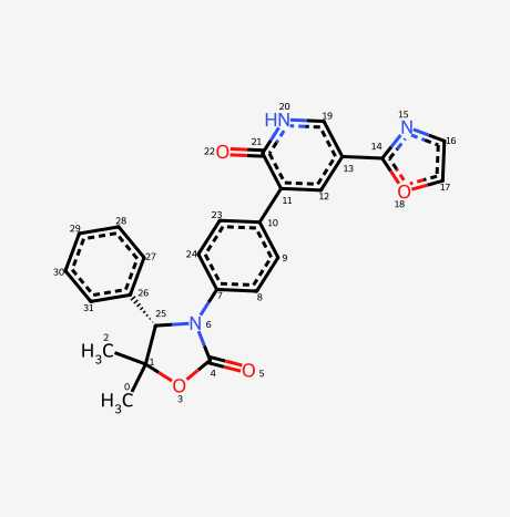 CC1(C)OC(=O)N(c2ccc(-c3cc(-c4ncco4)c[nH]c3=O)cc2)[C@H]1c1ccccc1